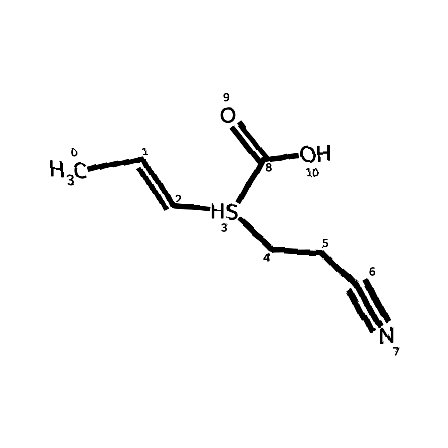 CC=C[SH](CCC#N)C(=O)O